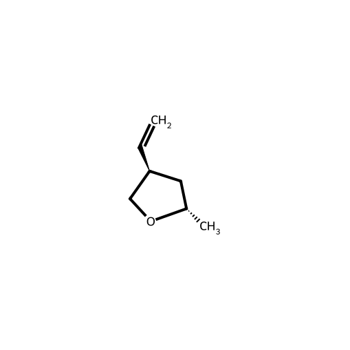 C=C[C@@H]1CO[C@@H](C)C1